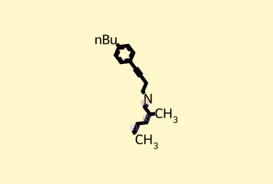 C\C=C/C=C(C)\C=N\CCC#Cc1ccc(CCCC)cc1